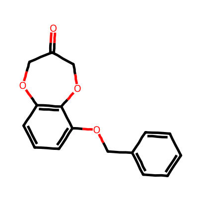 O=C1COc2cccc(OCc3ccccc3)c2OC1